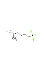 CC(C)C[CH]CCC(F)(F)F